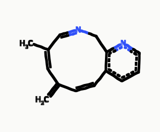 C=C1/C=C\c2cccnc2C/N=C\C(C)=C/1